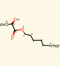 CCCCCCCCCCCCOC(=O)C(=O)OC